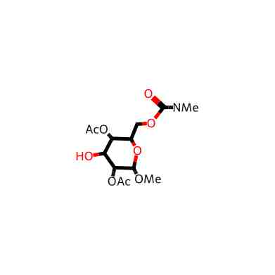 CNC(=O)OCC1OC(OC)C(OC(C)=O)C(O)C1OC(C)=O